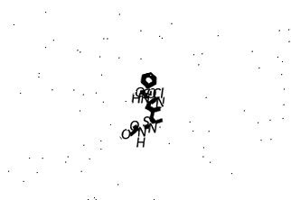 COCC(=O)Nc1nc(C)c(-c2cnc(Cl)c(NS(=O)(=O)c3ccccc3)c2)s1